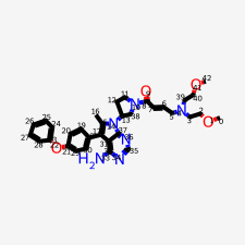 COCCN(CC=CC(=O)N1CCC(n2c(C)c(-c3ccc(Oc4ccccc4)cc3)c3c(N)ncnc32)C1)CCOC